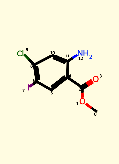 COC(=O)c1cc(I)c(Cl)cc1N